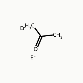 CC(C)=O.[Er].[Er]